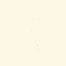 COC(=O)[C@]12CCC(C)(C)CC1C1C=CC3[C@@]4(C)C/C(=C/c5ccncc5)C(=O)C(C)(C)C4CC[C@@]3(C)[C@]1(C)CC2